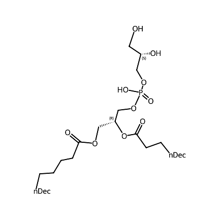 CCCCCCCCCCCCCCC(=O)OC[C@H](COP(=O)(O)OC[C@@H](O)CO)OC(=O)CCCCCCCCCCCC